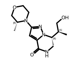 C[C@H](CO)[C@@H]1CNC(=O)c2cc(N3CCOC[C@H]3C)nn21